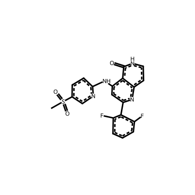 CS(=O)(=O)c1ccc(Nc2cc(-c3c(F)cccc3F)nc3cc[nH]c(=O)c23)nc1